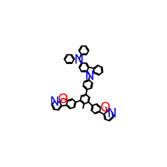 Cc1c(-c2ccc3c(c2)oc2ncccc23)cc(-c2ccc(-n3c4ccccc4c4cc(N(c5ccccc5)c5ccccc5)ccc43)cc2)cc1-c1ccc2c(c1)oc1ncccc12